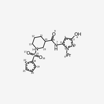 CC(C)n1nc(O)cc1NC(=O)C1CCCN(S(=O)(=O)c2cccs2)C1